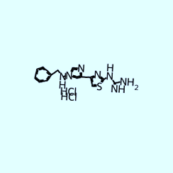 Cl.Cl.N=C(N)Nc1nc(-c2cn(NCc3ccccc3)cn2)cs1